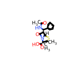 CC(=O)NC(c1ccccc1)[C@@H]1C(=O)N2[C@@H]1SC(C)(C)[C@@H]2C(=O)O